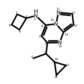 CC(c1cc(NC2CCC2)n2nccc2n1)C1CC1